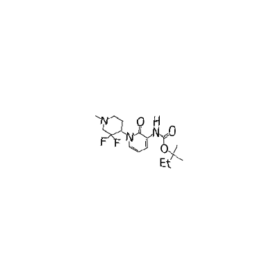 CCC(C)(C)OC(=O)Nc1cccn(C2CCN(C)CC2(F)F)c1=O